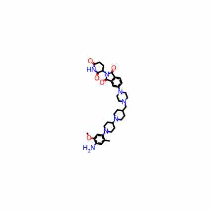 COc1cc(N2CCC(N3CCC(CN4CCN(c5ccc6c(c5)C(=O)N(C5CCC(=O)NC5=O)C6=O)CC4)CC3)CC2)c(C)cc1N